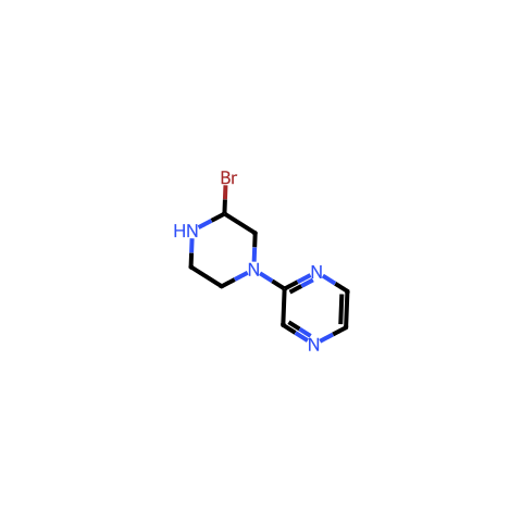 BrC1CN(c2cnccn2)CCN1